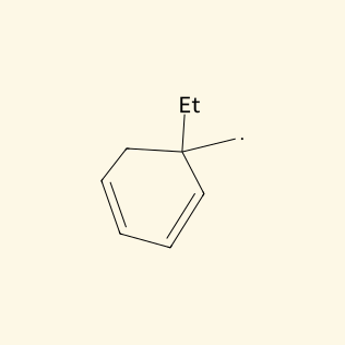 [CH2]C1(CC)C=CC=CC1